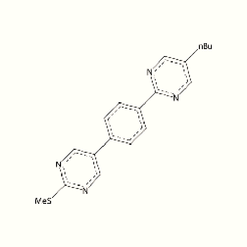 CCCCc1cnc(-c2ccc(-c3cnc(SC)nc3)cc2)nc1